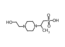 CC(CS(=O)(=O)O)N1CCN(CCO)CC1